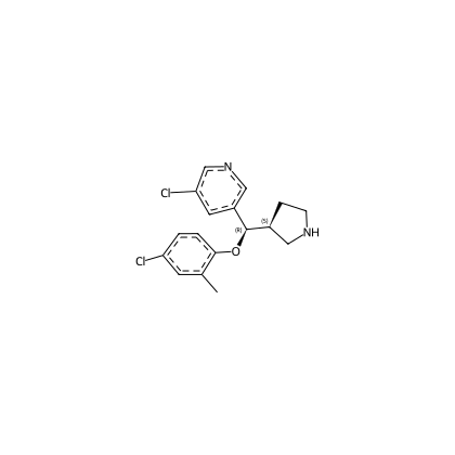 Cc1cc(Cl)ccc1O[C@@H](c1cncc(Cl)c1)[C@H]1CCNC1